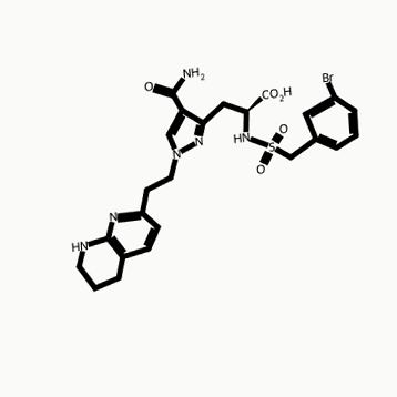 NC(=O)c1cn(CCc2ccc3c(n2)NCCC3)nc1C[C@H](NS(=O)(=O)Cc1cccc(Br)c1)C(=O)O